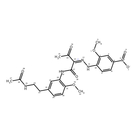 COc1cc([N+](=O)[O-])ccc1N/N=C(/C(C)=O)C(=O)Nc1cc(CCNC(C)=O)ccc1OC